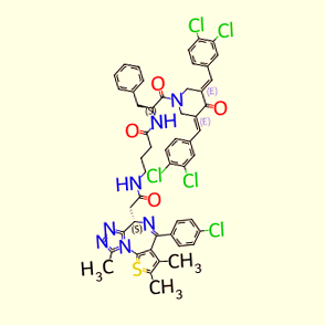 Cc1sc2c(c1C)C(c1ccc(Cl)cc1)=N[C@@H](CC(=O)NCCCC(=O)N[C@@H](Cc1ccccc1)C(=O)N1C/C(=C\c3ccc(Cl)c(Cl)c3)C(=O)/C(=C/c3ccc(Cl)c(Cl)c3)C1)c1nnc(C)n1-2